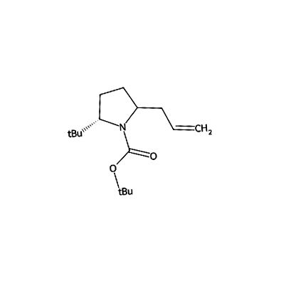 C=CCC1CC[C@@H](C(C)(C)C)N1C(=O)OC(C)(C)C